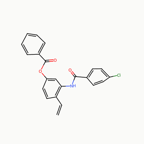 C=Cc1ccc(OC(=O)c2ccccc2)cc1NC(=O)c1ccc(Cl)cc1